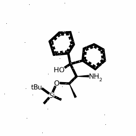 C[C@@H](O[Si](C)(C)C(C)(C)C)[C@H](N)C(O)(c1ccccc1)c1ccccc1